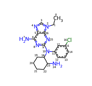 CCn1cnc2c(N)nc(N(c3cccc(Cl)c3)C3CCCCC3N)nc21